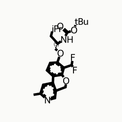 Cc1cc2c(cn1)COc1c-2ccc(OC[C@H](CC(C)C)NC(=O)OC(C)(C)C)c1C(F)F